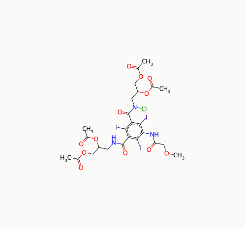 COCC(=O)Nc1c(I)c(C(=O)NCC(COC(C)=O)OC(C)=O)c(I)c(C(=O)N(Cl)CC(COC(C)=O)OC(C)=O)c1I